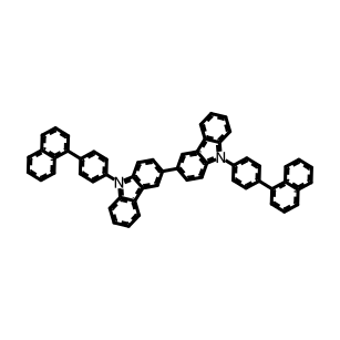 c1ccc2c(-c3ccc(-n4c5ccccc5c5cc(-c6ccc7c(c6)c6ccccc6n7-c6ccc(-c7cccc8ccccc78)cc6)ccc54)cc3)cccc2c1